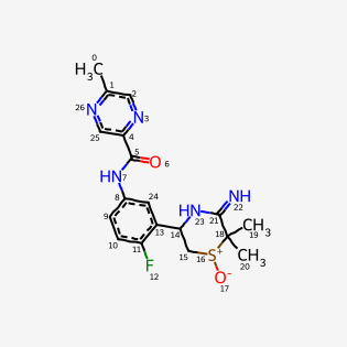 Cc1cnc(C(=O)Nc2ccc(F)c(C3C[S+]([O-])C(C)(C)C(=N)N3)c2)cn1